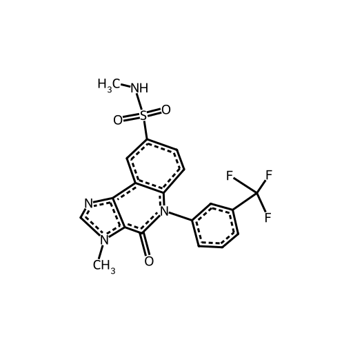 CNS(=O)(=O)c1ccc2c(c1)c1ncn(C)c1c(=O)n2-c1cccc(C(F)(F)F)c1